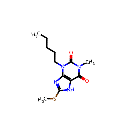 CCCCCn1c(=O)n(C)c(=O)c2[nH]c(SC)nc21